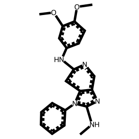 CNc1nc2cnc(Nc3ccc(OC)c(OC)c3)cc2n1-c1ccccc1